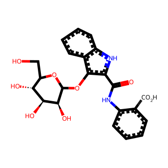 O=C(O)c1ccccc1NC(=O)c1[nH]c2ccccc2c1OC1OC(CO)[C@@H](O)[C@H](O)[C@@H]1O